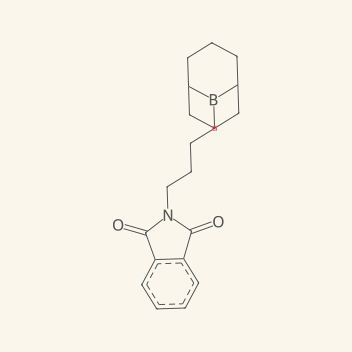 O=C1c2ccccc2C(=O)N1CCCCB1C2CCCC1CCC2